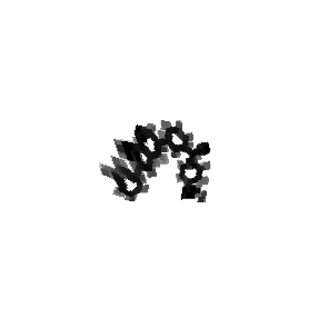 NC1CCN(C(=O)c2cccc(-c3cnc4[nH]c(-c5ccccc5)cc4c3)c2)CC1